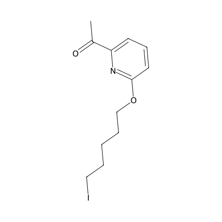 CC(=O)c1cccc(OCCCCCI)n1